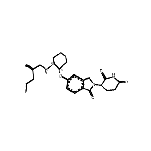 C=C(CCF)CN[C@H]1CCCC[C@@H]1Oc1ccc2c(c1)CN(C1CCC(=O)NC1=O)C2=O